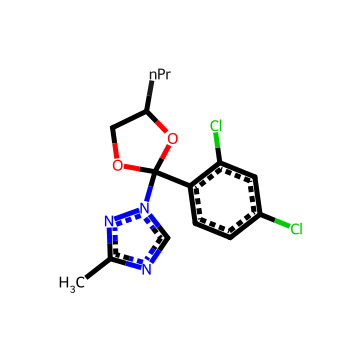 CCCC1COC(c2ccc(Cl)cc2Cl)(n2cnc(C)n2)O1